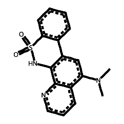 CN(C)c1cc2c(c3ncccc13)NS(=O)(=O)c1ccccc1-2